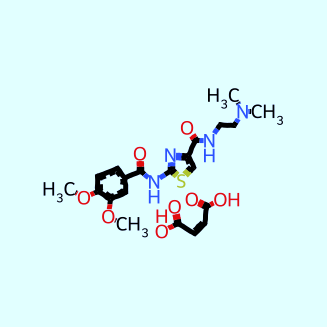 COc1ccc(C(=O)Nc2nc(C(=O)NCCN(C)C)cs2)cc1OC.O=C(O)/C=C\C(=O)O